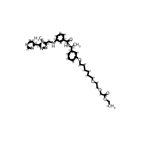 CCOC(=O)COCCOCCCCCCOc1cccc([C@@H](C)NC(=O)c2cccc(NCc3nnc(-c4ccncn4)n3C)c2)c1